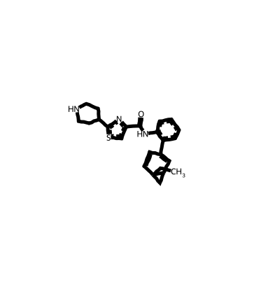 CCC12C=CC(c3ccccc3NC(=O)c3csc(C4CCNCC4)n3)=CC1C2